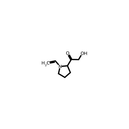 C=CN1CCCC1C(=O)CO